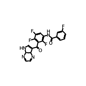 O=C(Nc1cc(F)c(F)c(C(=O)C2=CNC3N=CC=NC23)c1F)c1cccc(F)c1